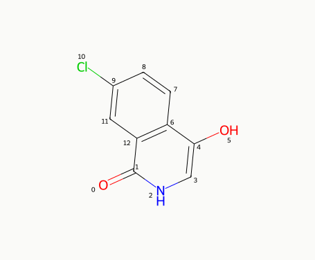 O=c1[nH]cc(O)c2ccc(Cl)cc12